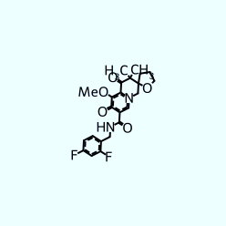 COc1c2n(cc(C(=O)NCc3ccc(F)cc3F)c1=O)CC1(CCCO1)C(C)(C)C2=O